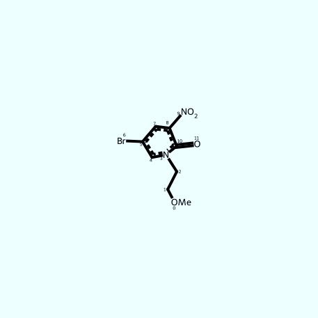 COCCn1cc(Br)cc([N+](=O)[O-])c1=O